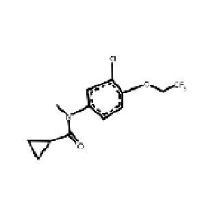 CN(C(=O)C1CC1)c1ccc(OCC(F)(F)F)c(Cl)c1